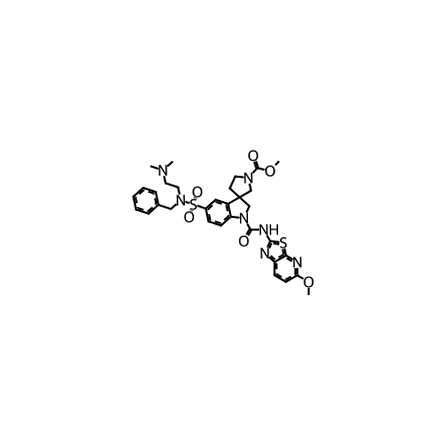 COC(=O)N1CCC2(C1)CN(C(=O)Nc1nc3ccc(OC)nc3s1)c1ccc(S(=O)(=O)N(CCN(C)C)Cc3ccccc3)cc12